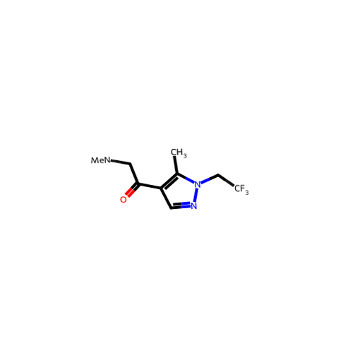 CNCC(=O)c1cnn(CC(F)(F)F)c1C